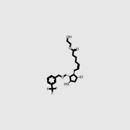 O=C(CCC/C=C\C[C@@H]1[C@@H](COCc2cccc(C(F)(F)F)c2)[C@H](O)C[C@H]1Cl)OCCO